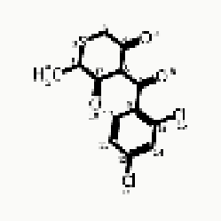 CC1SCC(=O)C(C(=O)c2ccc(Cl)cc2Cl)C1=O